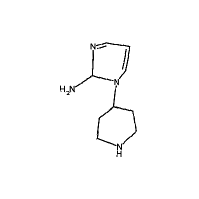 NC1N=CC=CN1C1CCNCC1